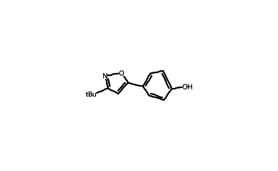 CC(C)(C)c1cc(-c2ccc(O)cc2)on1